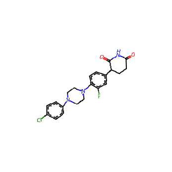 O=C1CCC(c2ccc(N3CCN(c4ccc(Cl)cc4)CC3)c(F)c2)C(=O)N1